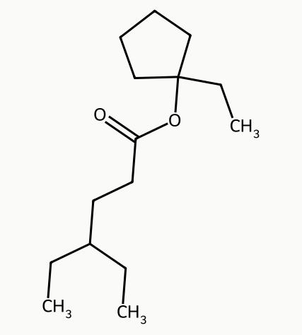 CCC(CC)CCC(=O)OC1(CC)CCCC1